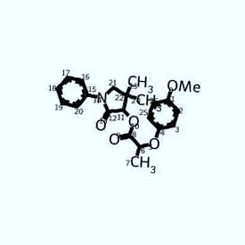 COc1ccc(OC(C)C(=O)OC2C(=O)N(c3ccccc3)CC2(C)C)cc1